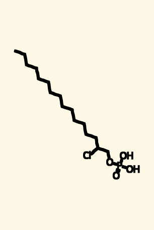 CCCCCCCCCCCCCCC(Cl)COP(=O)(O)O